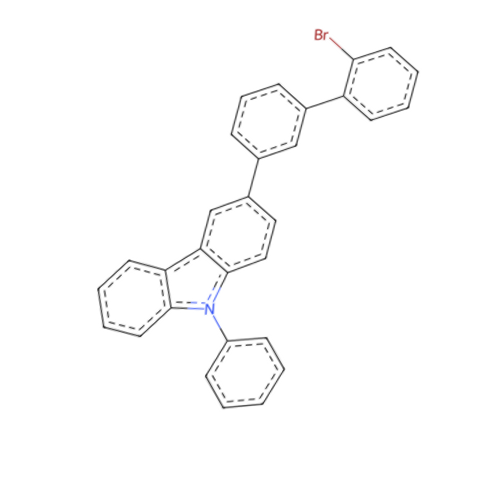 Brc1ccccc1-c1cccc(-c2ccc3c(c2)c2ccccc2n3-c2ccccc2)c1